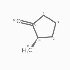 C[C@@H]1CCCC1=O